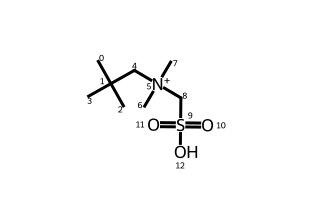 CC(C)(C)C[N+](C)(C)CS(=O)(=O)O